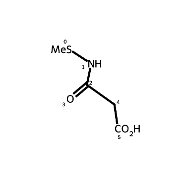 CSNC(=O)CC(=O)O